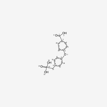 O=C(O)c1ccc(Oc2ccc(CP(=O)(O)O)cc2)cc1